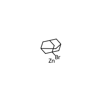 BrC12CC3CC(CC(C3)C1)C2.[Zn]